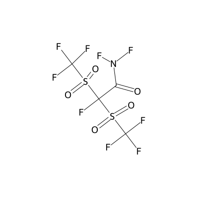 O=C(N(F)F)C(F)(S(=O)(=O)C(F)(F)F)S(=O)(=O)C(F)(F)F